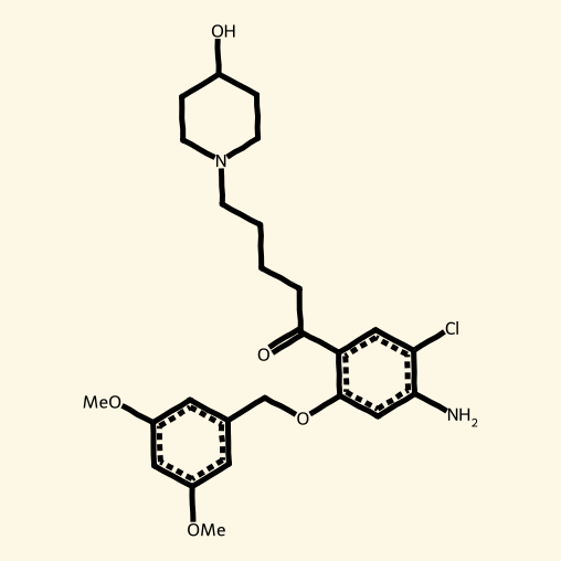 COc1cc(COc2cc(N)c(Cl)cc2C(=O)CCCCN2CCC(O)CC2)cc(OC)c1